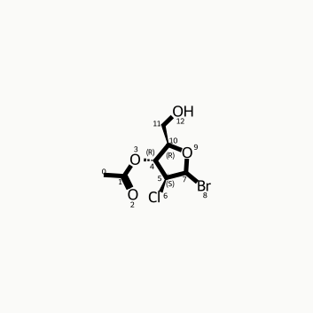 CC(=O)O[C@H]1[C@H](Cl)C(Br)O[C@@H]1CO